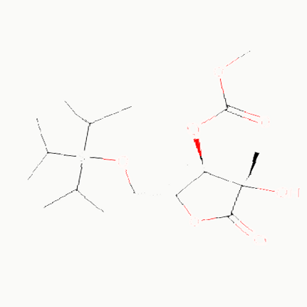 COC(=O)O[C@@H]1[C@@H](CO[Si](C(C)C)(C(C)C)C(C)C)OC(=O)[C@@]1(C)O